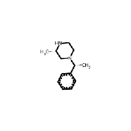 C[C@H](c1ccccc1)N1CCN[C@@H](C)C1